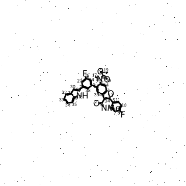 CNC(=O)c1c(-c2ccc(F)cc2)oc2cc(N(C)S(C)(=O)=O)c(-c3cc(F)cc(-c4cc5ccccc5[nH]4)c3)cc12